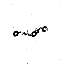 c1ccc(COCCNCc2ccc3cc(Cc4ccncc4)oc3c2)cc1